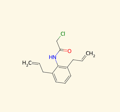 C=CCc1cccc(CC=C)c1NC(=O)CCl